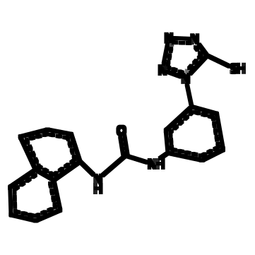 O=C(Nc1cccc(-n2nnnc2S)c1)Nc1cccc2ccccc12